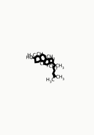 CC(C)=CCCC(C)C1CCC2(C)C3=C(CCC12C)C1(C)CCC(O)C(C)(C)C1CC3